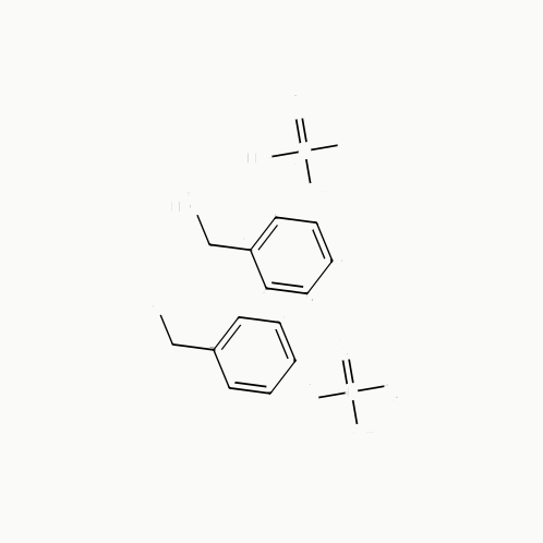 CCc1ccccc1.CCc1ccccc1.OP(O)(O)=S.OP(O)(O)=S